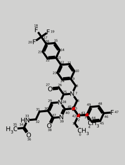 CCN(CC)CCN(Cc1ccc(-c2ccc(C(F)(F)F)cc2)cc1)C(C=O)n1cc(CCNC(C)=O)c(=O)nc1SCc1ccc(F)cc1